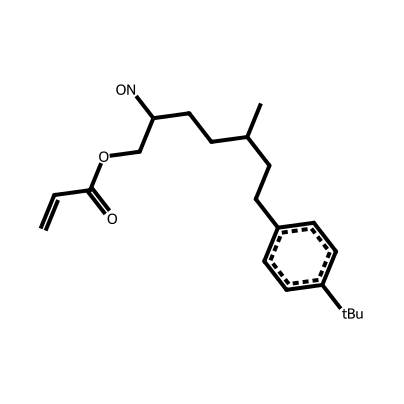 C=CC(=O)OCC(CCC(C)CCc1ccc(C(C)(C)C)cc1)N=O